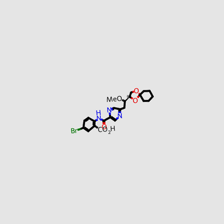 COC(Cc1cnc(C(=O)Nc2ccc(Br)cc2C(=O)O)cn1)[C@H]1COC2(CCCCC2)O1